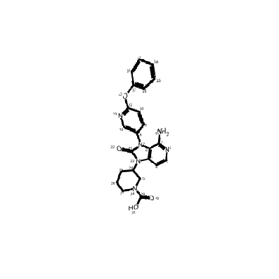 Nc1nccc2c1n(-c1ccc(Oc3ccccc3)nc1)c(=O)n2C1CCCN(C(=O)O)C1